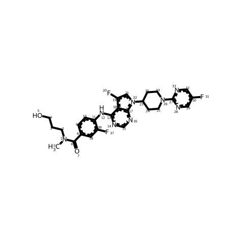 CN(CCCO)C(=O)c1ccc(Nc2ncnc3c2c(F)cn3C2CCN(c3ncc(F)cn3)CC2)c(F)c1